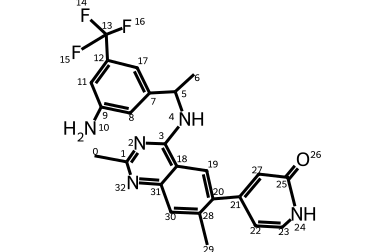 Cc1nc(NC(C)c2cc(N)cc(C(F)(F)F)c2)c2cc(-c3cc[nH]c(=O)c3)c(C)cc2n1